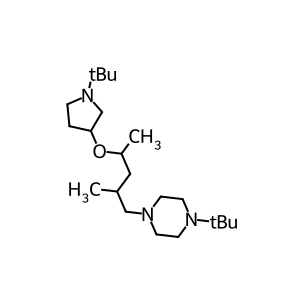 CC(CC(C)OC1CCN(C(C)(C)C)C1)CN1CCN(C(C)(C)C)CC1